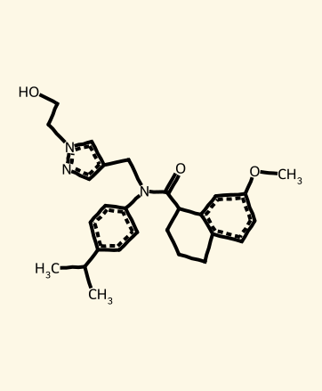 COc1ccc2c(c1)C(C(=O)N(Cc1cnn(CCO)c1)c1ccc(C(C)C)cc1)CCC2